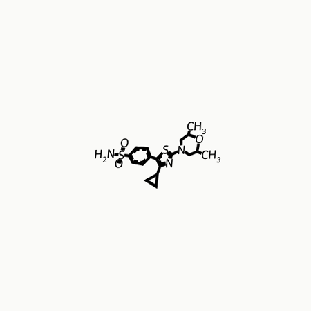 CC1CN(c2nc(C3CC3)c(-c3ccc(S(N)(=O)=O)cc3)s2)CC(C)O1